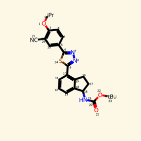 CC(C)Oc1ccc(-c2nnc(-c3cccc4c3CCC4NC(=O)OC(C)(C)C)s2)cc1C#N